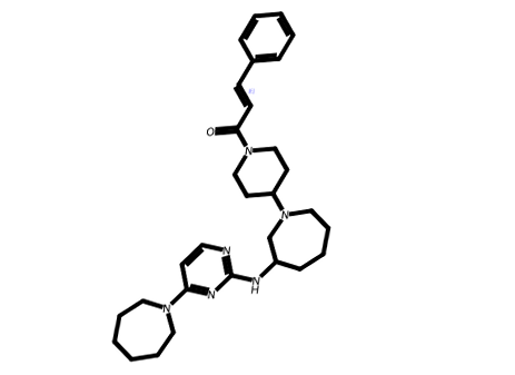 O=C(/C=C/c1ccccc1)N1CCC(N2CCCCC(Nc3nccc(N4CCCCCC4)n3)C2)CC1